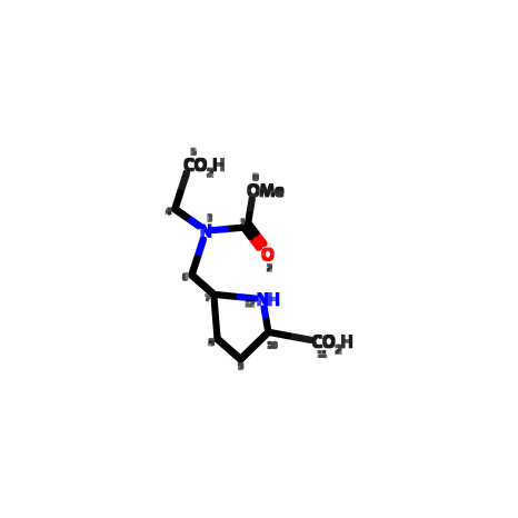 COC(=O)N(CC(=O)O)CC1CCC(C(=O)O)N1